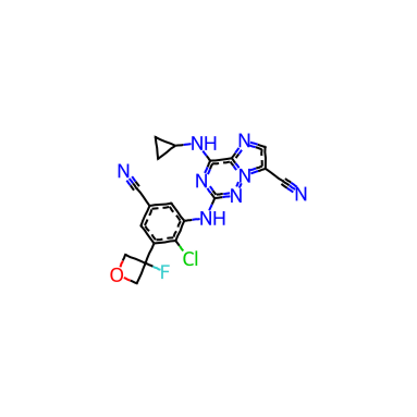 N#Cc1cc(Nc2nc(NC3CC3)c3ncc(C#N)n3n2)c(Cl)c(C2(F)COC2)c1